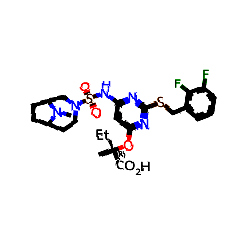 CC[C@@](C)(Oc1cc(NS(=O)(=O)N2CCC3CCC(C2)N3C)nc(SCc2cccc(F)c2F)n1)C(=O)O